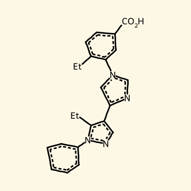 CCc1ccc(C(=O)O)cc1-n1cnc(-c2cnn(-c3ccccc3)c2CC)c1